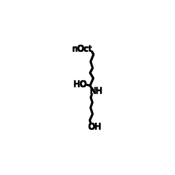 CCCCCCCCCCCCCC(O)NCCCCCO